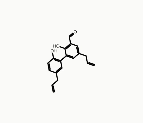 C=CCc1ccc(O)c(-c2cc(CC=C)cc(C=O)c2O)c1